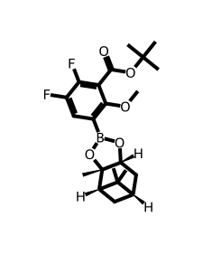 COc1c(B2O[C@@H]3C[C@@H]4C[C@@H](C4(C)C)[C@]3(C)O2)cc(F)c(F)c1C(=O)OC(C)(C)C